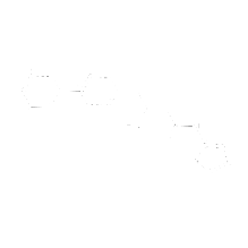 NC(CC(=O)Nc1ncc[nH]1)Cc1ccc(-c2ccccc2)cc1